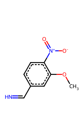 COc1cc(C=N)ccc1[N+](=O)[O-]